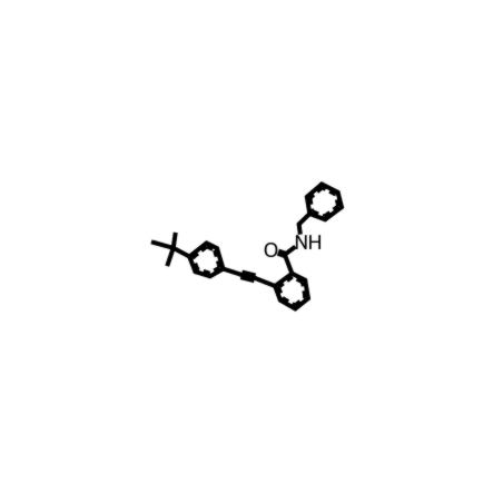 CC(C)(C)c1ccc(C#Cc2ccccc2C(=O)NCc2ccccc2)cc1